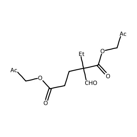 [CH2]CC(C=O)(CCC(=O)OCC(C)=O)C(=O)OCC(C)=O